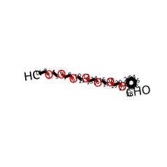 C#CCOCCOCCOCCOCCOCCOCCOc1ccccc1C=O